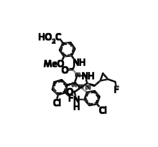 COc1cc(C(=O)O)ccc1NC(=O)[C@@H]1N[C@@H](CC2CC2CF)[C@@]2(C(=O)Nc3cc(Cl)ccc32)[C@H]1c1cccc(Cl)c1F